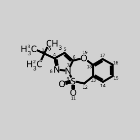 CC(C)(C)c1cc2n(n1)S(=O)(=O)Cc1ccccc1O2